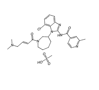 CS(=O)(=O)O.Cc1cc(C(=O)Nc2nc3cccc(Cl)c3n2C2CCCCN(C(=O)/C=C/CN(C)C)C2)ccn1